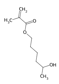 C=C(C)C(=O)OCCCCC(C)O